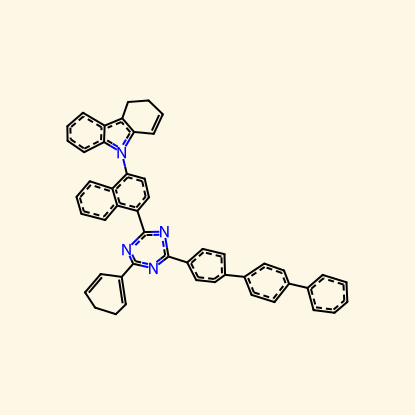 C1=CC(c2nc(-c3ccc(-c4ccc(-c5ccccc5)cc4)cc3)nc(-c3ccc(-n4c5c(c6ccccc64)CCC=C5)c4ccccc34)n2)=CCC1